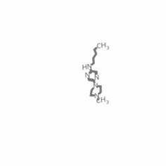 CCCCCNc1cnc(N2CCN(C)CC2)cn1